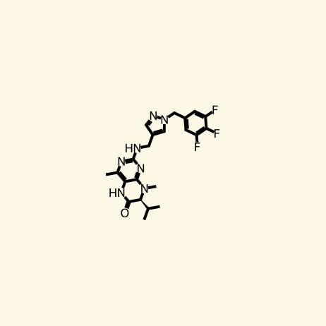 Cc1nc(NCc2cnn(Cc3cc(F)c(F)c(F)c3)c2)nc2c1NC(=O)[C@H](C(C)C)N2C